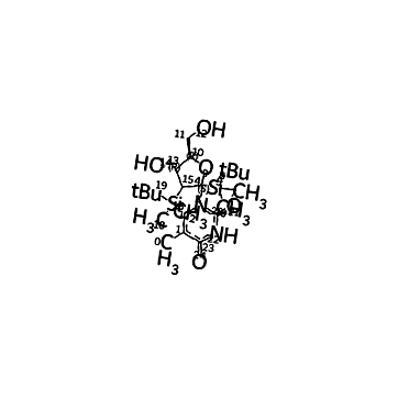 Cc1cn([C@]2([Si](C)(C)C(C)(C)C)O[C@H](CO)[C@@H](O)C2[Si](C)(C)C(C)(C)C)c(=O)[nH]c1=O